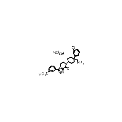 Cl.Cl.NC[C@]1(c2cccc(Cl)c2)CC[C@H](N2CCn3c(nnc3-c3cccc(C(=O)O)c3)C2=O)CC1